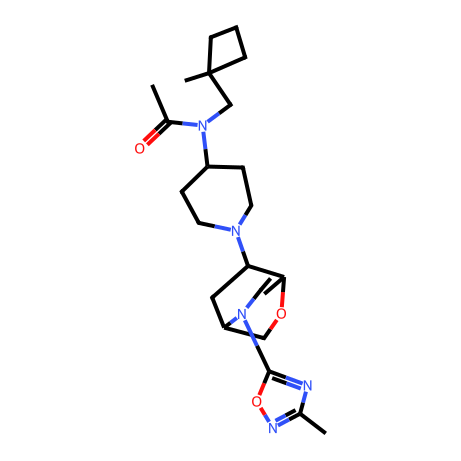 CC(=O)N(CC1(C)CCC1)C1CCN(C2CC3COC2=CN3c2nc(C)no2)CC1